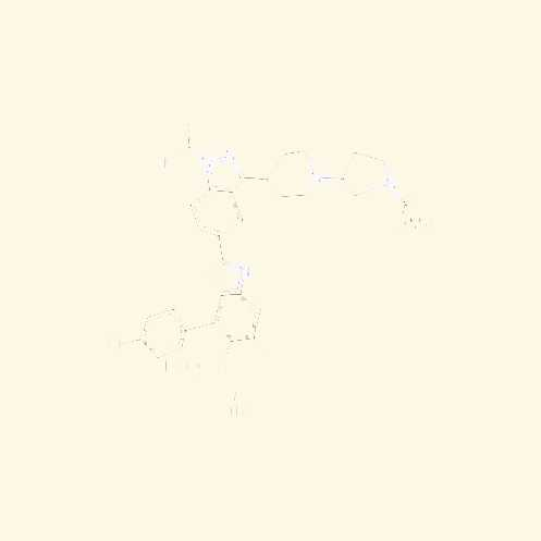 COC(=O)N1CCC(N2CCC(c3nn(C(C)I)c4ccc(-c5nc6cc(C)c([C@H](OC(C)(C)C)C(=O)O)c(-c7ccc(Cl)cc7)c6s5)cc34)CC2)C1